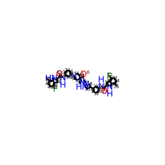 COCC1(N(C)CN2CC(c3cccc(NC(=O)C4Cc5c(F)ccc(C)c5N4)c3)CN2)CCN(c2cccc(NC(=O)C3Cc4c(F)ccc(C)c4N3)c2)CC1